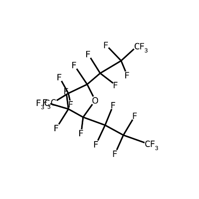 FC(F)(F)C(F)(F)C(F)(F)C(F)(OC(F)(C(F)(F)C(F)(F)F)C(F)(F)C(F)(F)C(F)(F)F)C(F)(F)C(F)(F)F